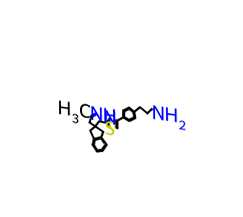 CC(=N)CC1(Cc2nc(-c3ccc(CCCN)cc3)cs2)Cc2ccccc2C1